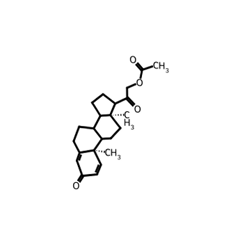 CC(=O)OCC(=O)C1CCC2C3CCC4=CC(=O)C=C[C@]4(C)C3CC[C@]12C